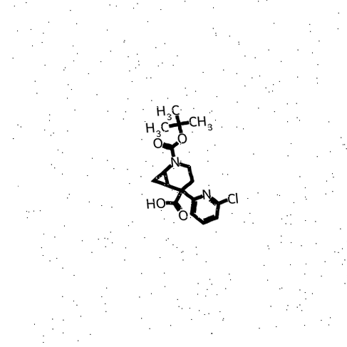 CC(C)(C)OC(=O)N1CCC(C(=O)O)(c2cccc(Cl)n2)C2CC21